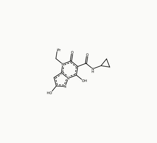 CC(C)Cn1c(=O)c(C(=O)NC2CC2)c(O)n2nc(O)cc12